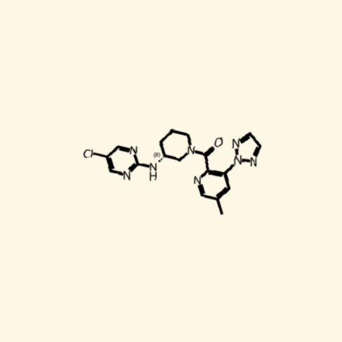 Cc1cnc(C(=O)N2CCC[C@@H](Nc3ncc(Cl)cn3)C2)c(-n2nccn2)c1